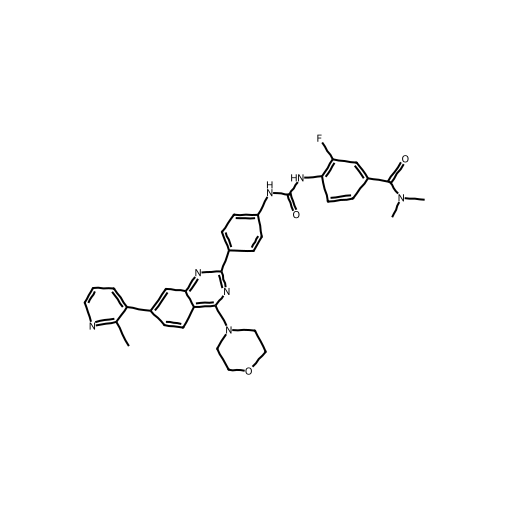 Cc1ncccc1-c1ccc2c(N3CCOCC3)nc(-c3ccc(NC(=O)Nc4ccc(C(=O)N(C)C)cc4F)cc3)nc2c1